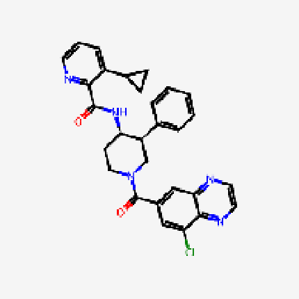 O=C(N[C@@H]1CCN(C(=O)c2cc(Cl)c3nccnc3c2)C[C@@H]1c1ccccc1)c1ncccc1C1CC1